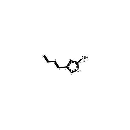 C=CC=Cc1csc(O)c1